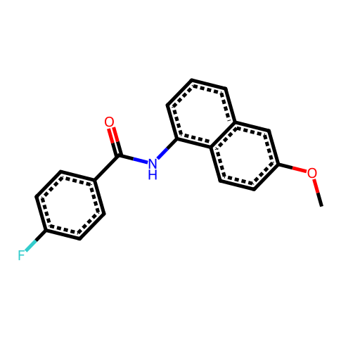 COc1ccc2c(NC(=O)c3ccc(F)cc3)cccc2c1